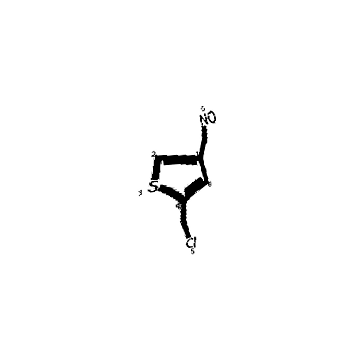 O=Nc1csc(Cl)c1